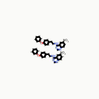 O=[N+]([O-])c1ccc2ncnc(NCCc3ccc(Oc4ccccc4)cc3)c2c1.O=[N+]([O-])c1ccc2ncnc(NCCc3ccc(Oc4ccccc4)cc3)c2c1